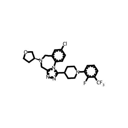 Fc1c(N2CCC(c3nnc4n3-c3ccc(Cl)cc3CN([C@H]3CCOC3)C4)CC2)cccc1C(F)(F)F